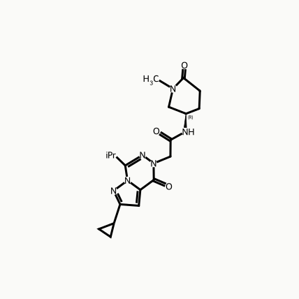 CC(C)c1nn(CC(=O)N[C@@H]2CCC(=O)N(C)C2)c(=O)c2cc(C3CC3)nn12